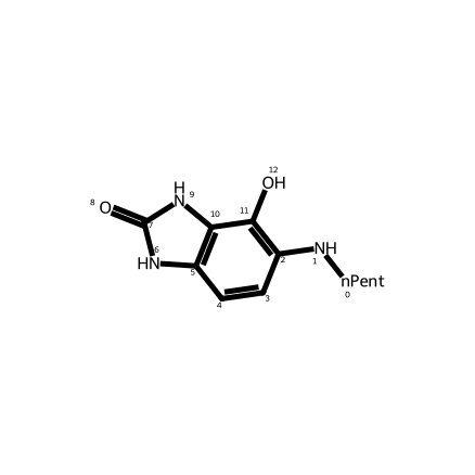 CCCCCNc1ccc2[nH]c(=O)[nH]c2c1O